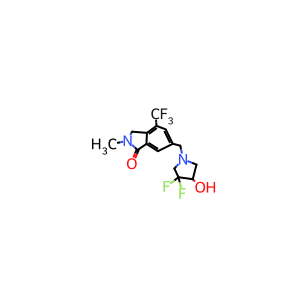 CN1Cc2c(cc(CN3CC(O)C(F)(F)C3)cc2C(F)(F)F)C1=O